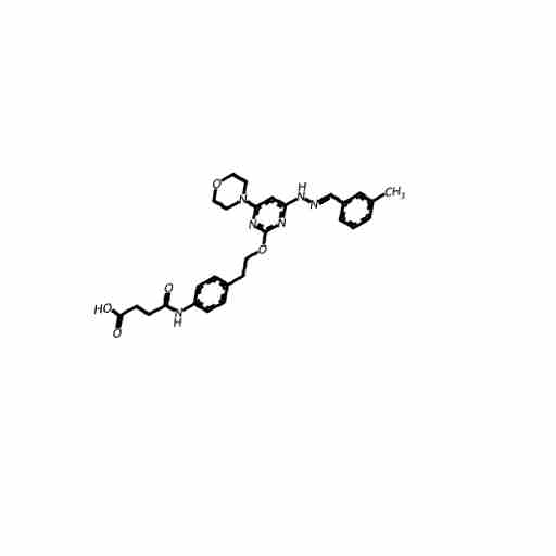 Cc1cccc(/C=N/Nc2cc(N3CCOCC3)nc(OCCc3ccc(NC(=O)CCC(=O)O)cc3)n2)c1